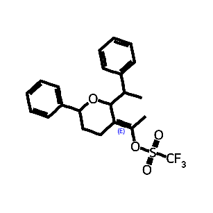 C/C(OS(=O)(=O)C(F)(F)F)=C1/CCC(c2ccccc2)OC1C(C)c1ccccc1